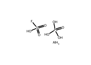 O=P(O)(O)O.O=S(=O)(O)F.[AlH3]